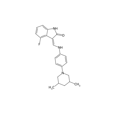 CC1CC(C)CN(c2ccc(NC=C3C(=O)Nc4cccc(F)c43)cc2)C1